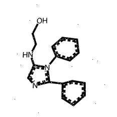 OCCNc1cnc(-c2ccccc2)n1-c1ccccc1